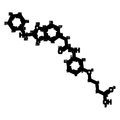 O=C(O)CCCOc1cccc(NC(=O)Cc2ccc3oc(Nc4ccccc4)nc3c2)c1